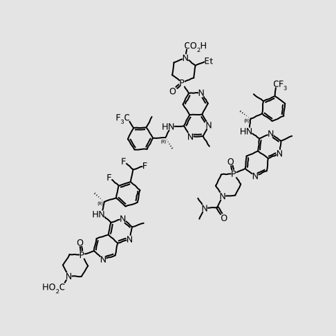 CCC1CP(=O)(c2cc3c(N[C@H](C)c4cccc(C(F)(F)F)c4C)nc(C)nc3cn2)CCN1C(=O)O.Cc1nc(N[C@H](C)c2cccc(C(F)(F)F)c2C)c2cc(P3(=O)CCN(C(=O)N(C)C)CC3)ncc2n1.Cc1nc(N[C@H](C)c2cccc(C(F)F)c2F)c2cc(P3(=O)CCN(C(=O)O)CC3)ncc2n1